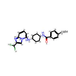 COc1ccc(C(=O)N[C@H]2CC[C@@H](Nc3cccc4nc(C(F)F)cn34)CC2)cc1